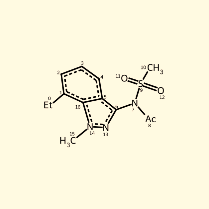 CCc1cccc2c(N(C(C)=O)S(C)(=O)=O)nn(C)c12